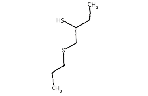 CCCSCC(S)CC